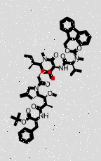 C=C1C[C@@H]([C@H](OC)[C@@H](C)C(=O)NC(Cc2ccccc2)C(=O)OC(C)(C)C)N(C(=O)C[C@@H](OC)[C@H]([C@@H](C)CC)N(C)C(=O)[C@@H](NC(=O)[C@H](C(C)C)N(C)C(=O)OCC2c3ccccc3-c3ccccc32)C(C)C)C1